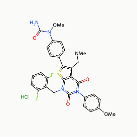 CNCc1c(-c2ccc(N(OC)C(N)=O)cc2)sc2c1c(=O)n(-c1ccc(OC)cc1)c(=O)n2Cc1c(F)cccc1F.Cl